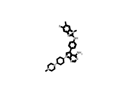 Cc1cc2c(cc1F)nc(Nc1ccc(-c3cn([C@H]4CC[C@@H](N5CCN(C)CC5)CC4)c4ncnc(N)c34)cc1)n2C